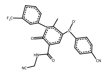 Cc1c([S+]([O-])c2ccc(C#N)cc2)cc(C(=O)NCC#N)c(=O)n1-c1cccc(C(F)(F)F)c1